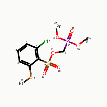 CCSc1cccc(Cl)c1S(=O)(=O)OCP(=O)(OC(C)C)OC(C)C